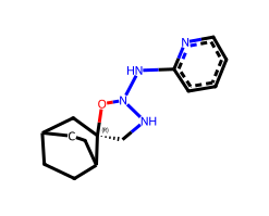 c1ccc(NN2NC[C@]3(CC4CCC3CC4)O2)nc1